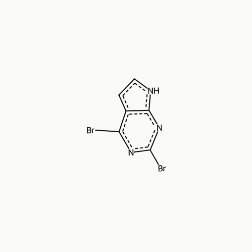 Brc1nc(Br)c2cc[nH]c2n1